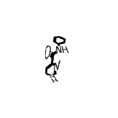 O=C(Nc1ccccc1)C1=CCNC=N1